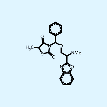 CNC(COC(c1ccccc1)N1C(=O)SC(C)C1=O)c1nc2ccccc2o1